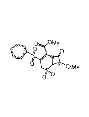 COC(=O)C1=C(S(=O)(=O)c2ccccc2)CS(=O)(=O)C2[C@H](OC)C(=O)N12